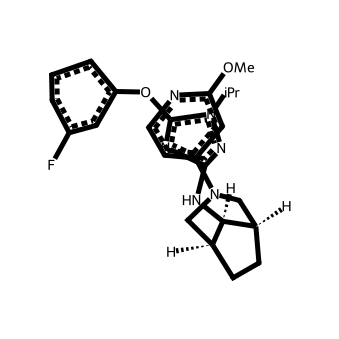 COc1cc(N2C[C@H]3CC[C@@H](C2)[C@H]3Nc2nc(Oc3cccc(F)c3)n(C(C)C)n2)ccn1